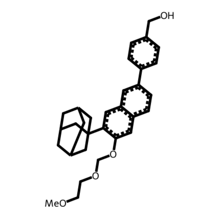 COCCOCOc1cc2ccc(-c3ccc(CO)cc3)cc2cc1C12CC3CC(CC(C3)C1)C2